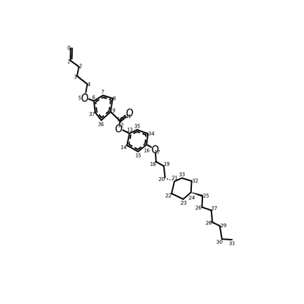 C=CCCCOc1ccc(C(=O)Oc2ccc(OCCC[C@H]3CC[C@H](CCCCCCC)CC3)cc2)cc1